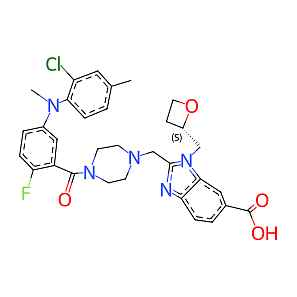 Cc1ccc(N(C)c2ccc(F)c(C(=O)N3CCN(Cc4nc5ccc(C(=O)O)cc5n4C[C@@H]4CCO4)CC3)c2)c(Cl)c1